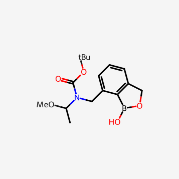 COC(C)N(Cc1cccc2c1B(O)OC2)C(=O)OC(C)(C)C